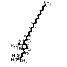 CCCCCCCCCCCCCCCCCC(=O)CC(CC(=O)P(O)C(=O)CC[N+](C)(C)C)NC(C)=O